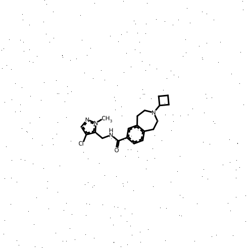 Cn1ncc(Cl)c1CNC(=O)c1ccc2c(c1)CCN(C1CCC1)CC2